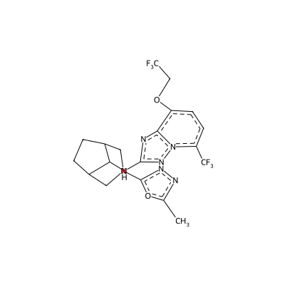 Cc1nnc(N2CC3CCC(C2)C3Nc2nc3c(OCC(F)(F)F)ccc(C(F)(F)F)n3n2)o1